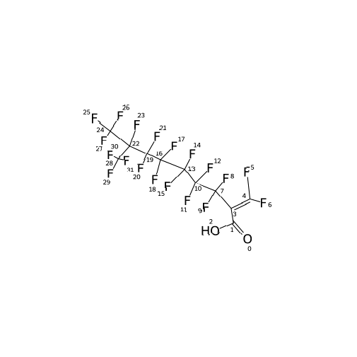 O=C(O)C(=C(F)F)C(F)(F)C(F)(F)C(F)(F)C(F)(F)C(F)(F)C(F)(C(F)(F)F)C(F)(F)F